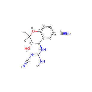 CNC(=NC#N)N[C@@H]1c2cc(C#N)ccc2OC(C)(C)[C@H]1O